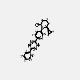 O=C1CCCC(=C2CC2)N1c1ccc(-c2nnc(-c3ccccn3)nn2)nc1